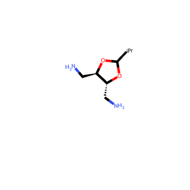 CC(C)C1O[C@H](CN)[C@@H](CN)O1